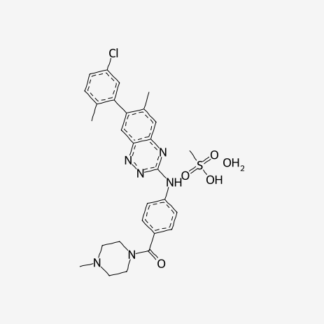 CS(=O)(=O)O.Cc1ccc(Cl)cc1-c1cc2nnc(Nc3ccc(C(=O)N4CCN(C)CC4)cc3)nc2cc1C.O